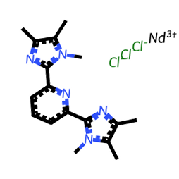 Cc1nc(-c2cccc(-c3nc(C)c(C)n3C)n2)n(C)c1C.[Cl-].[Cl-].[Cl-].[Nd+3]